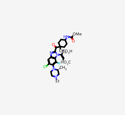 CCN1CCN(c2c(Cl)cc3nc(C(=O)C4(C)CCC(NC(=O)OC)CC4)n(/C(=C\C(=O)O)C(=O)O)c3c2F)[C@H](C)C1